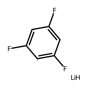 Fc1[c]c(F)cc(F)c1.[LiH]